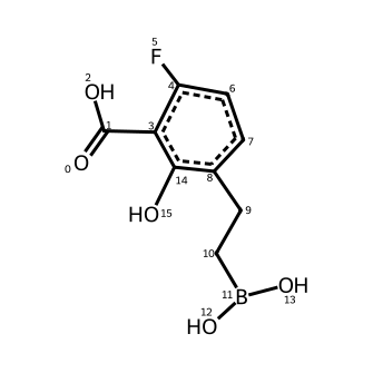 O=C(O)c1c(F)ccc(CCB(O)O)c1O